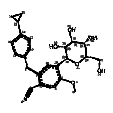 COc1cc(C#N)c(Cc2ccc(C3CC3)cc2)cc1[C@@H]1O[C@H](CO)[C@@H](O)[C@H](O)[C@H]1O